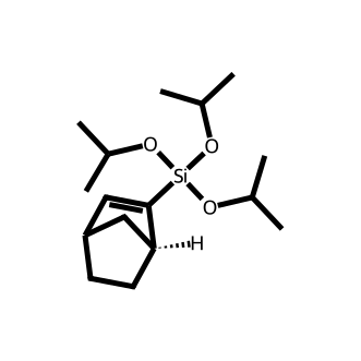 CC(C)O[Si](OC(C)C)(OC(C)C)C1=CC2CC[C@H]1C2